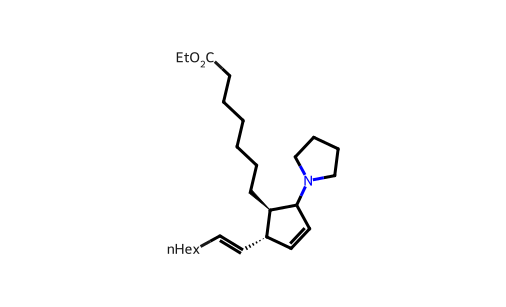 CCCCCCC=C[C@H]1C=CC(N2CCCC2)[C@@H]1CCCCCCC(=O)OCC